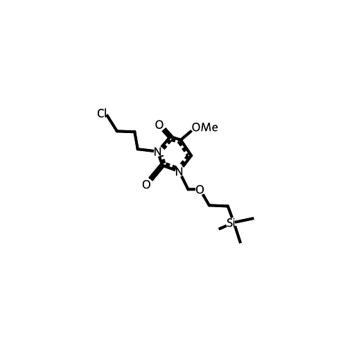 COc1cn(COCC[Si](C)(C)C)c(=O)n(CCCCl)c1=O